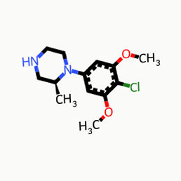 COc1cc(N2CCNC[C@@H]2C)cc(OC)c1Cl